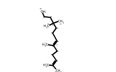 CC(C)=CCC/C(C)=C/CCC(C)(C)CCO